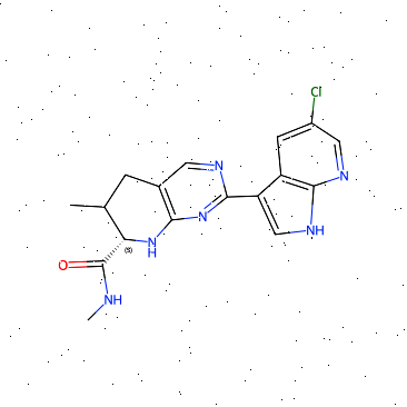 CNC(=O)[C@H]1Nc2nc(-c3c[nH]c4ncc(Cl)cc34)ncc2CC1C